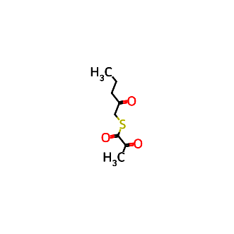 CCCC(=O)CSC(=O)C(C)=O